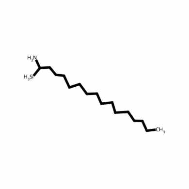 CCCCCCCCCCCCCCCC(N)[SiH3]